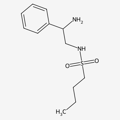 CCCCS(=O)(=O)NCC(N)c1ccccc1